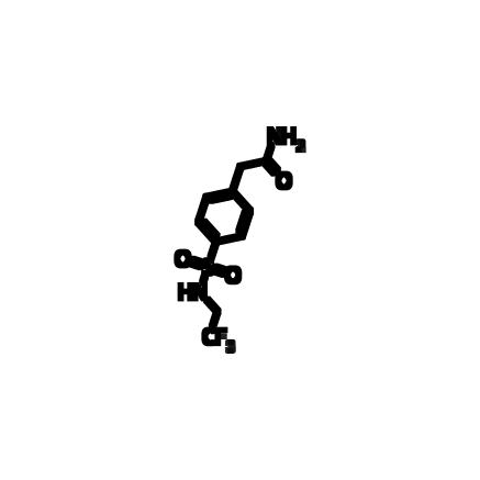 NC(=O)Cc1ccc(S(=O)(=O)NCC(F)(F)F)cc1